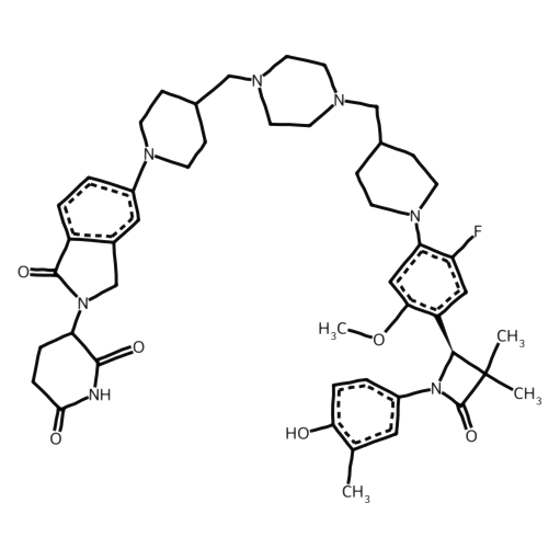 COc1cc(N2CCC(CN3CCN(CC4CCN(c5ccc6c(c5)CN(C5CCC(=O)NC5=O)C6=O)CC4)CC3)CC2)c(F)cc1[C@@H]1N(c2ccc(O)c(C)c2)C(=O)C1(C)C